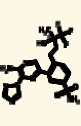 C[C@](O)(CCc1ccc(S(N)(=O)=O)cc1-c1cnc(N)c(-n2cncn2)n1)C(F)(F)F